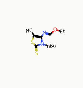 CCCCn1c(/N=C/OCC)c(C#N)sc1=S